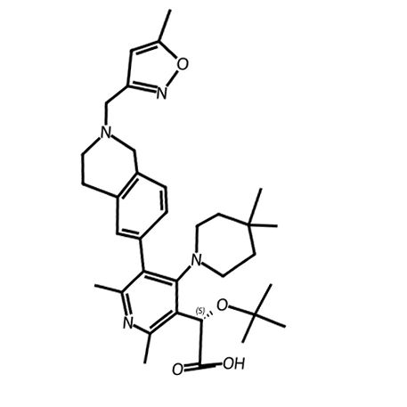 Cc1cc(CN2CCc3cc(-c4c(C)nc(C)c([C@H](OC(C)(C)C)C(=O)O)c4N4CCC(C)(C)CC4)ccc3C2)no1